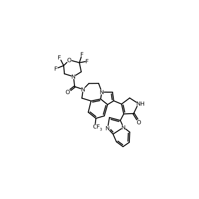 O=C1NCC(c2cn3c4c(cc(C(F)(F)F)cc24)CN(C(=O)N2CC(F)(F)OC(F)(F)C2)CC3)=C1c1cnc2ccccn12